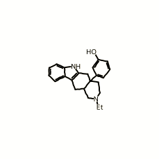 CCN1CCC2(c3cccc(O)c3)Cc3[nH]c4ccccc4c3CC2C1